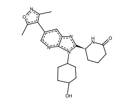 Cc1noc(C)c1-c1cnc2c(c1)nc([C@@H]1CCCC(=O)N1)n2C1CCC(O)CC1